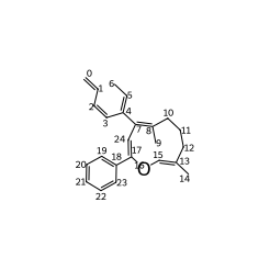 C=C\C=C/C(=C\C)C1=C(/C)CCC/C(C)=C/O/C(c2ccccc2)=C\1